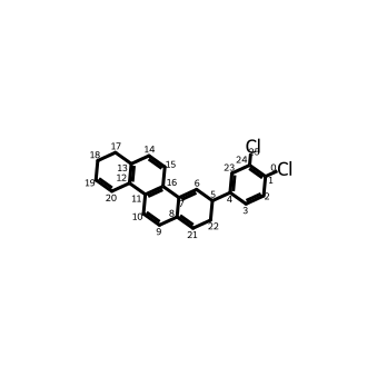 Clc1ccc(C2C=c3c(ccc4c5c(ccc34)CCC=C5)=CC2)cc1Cl